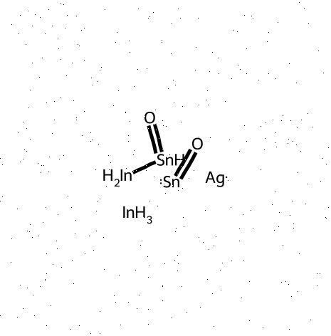 [Ag].[InH3].[O]=[SnH][InH2].[O]=[Sn]